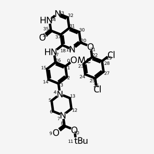 COc1cc(N2CCN(C(=O)OC(C)(C)C)CC2)ccc1Nc1nc(Oc2ccc(Cl)cc2Cl)cc2cn[nH]c(=O)c12